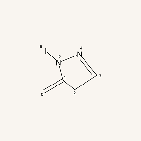 C=C1CC=NN1I